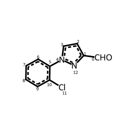 O=Cc1ccn(-c2ccccc2Cl)n1